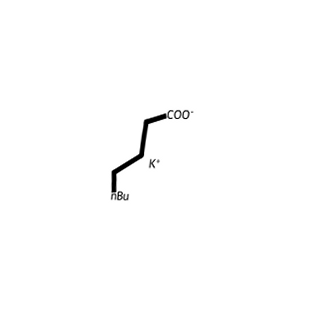 CCCCCCCC(=O)[O-].[K+]